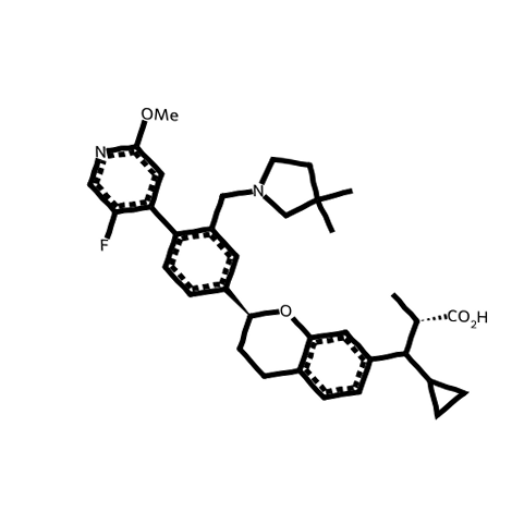 COc1cc(-c2ccc([C@@H]3CCc4ccc(C(C5CC5)[C@H](C)C(=O)O)cc4O3)cc2CN2CCC(C)(C)C2)c(F)cn1